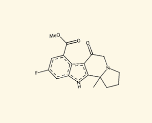 COC(=O)c1cc(F)cc2[nH]c3c(c12)C(=O)CN1CCCC31C